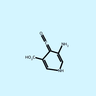 NC1=CNC=C(C(=O)O)C1=C=O